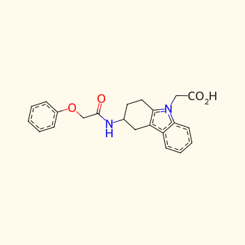 O=C(O)Cn1c2c(c3ccccc31)CC(NC(=O)COc1ccccc1)CC2